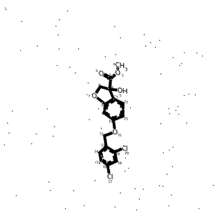 COC(=O)C1(O)COc2cc(OCc3ccc(Cl)cc3Cl)ccc21